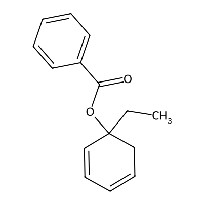 CCC1(OC(=O)c2ccccc2)C=CC=CC1